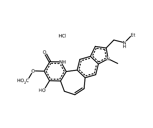 CCNCc1cc2cc3c(cc2n1C)C=CCc1c-3[nH]c(=O)c(OC(=O)O)c1O.Cl